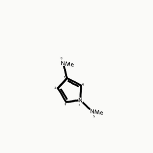 CNc1ccn(NC)c1